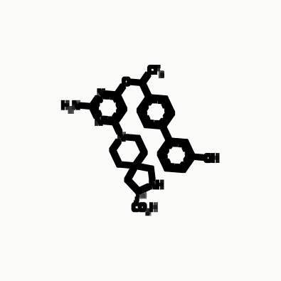 Nc1nc(OC(c2ccc(-c3cccc(O)c3)cc2)C(F)(F)F)cc(N2CCC3(CC2)CN[C@H](C(=O)O)C3)n1